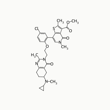 COC(=O)c1c(C)sc2c(-c3cc(Cl)ccc3OCCn3c(C)nc4c(c3=O)CC(N(C)C3CC3)CC4)cn(C)c(=O)c12